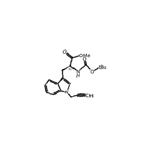 C#CCn1cc(C[C@H](NC(=O)OC(C)(C)C)C(=O)OC)c2ccccc21